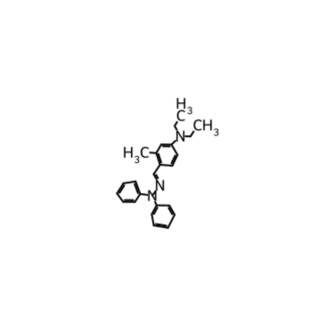 CCN(CC)c1ccc(/C=N/N(c2ccccc2)c2ccccc2)c(C)c1